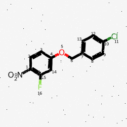 O=[N+]([O-])c1ccc(OCc2ccc(Cl)cc2)cc1F